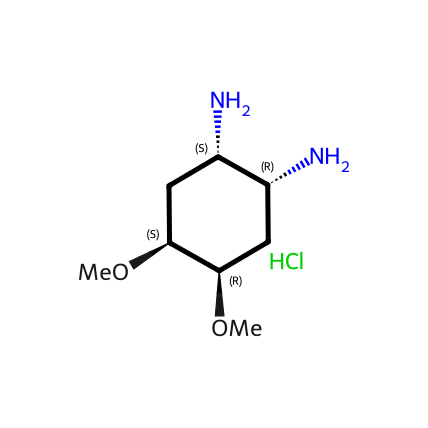 CO[C@H]1C[C@H](N)[C@H](N)C[C@H]1OC.Cl